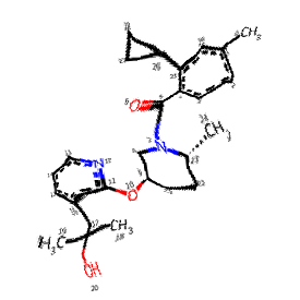 Cc1ccc(C(=O)N2C[C@H](Oc3ncccc3C(C)(C)O)CC[C@H]2C)c(C2CC2)c1